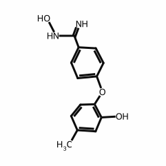 Cc1ccc(Oc2ccc(C(=N)NO)cc2)c(O)c1